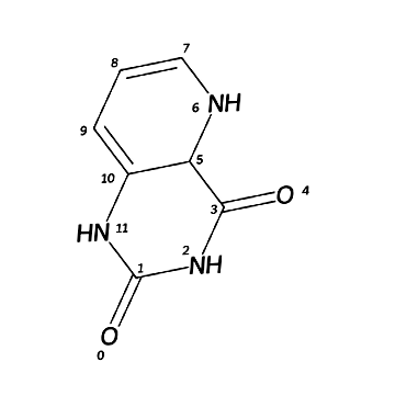 O=C1NC(=O)C2NC=CC=C2N1